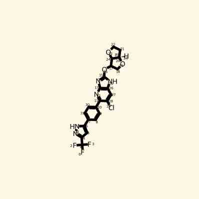 FC(F)(F)c1cc(-c2ccc(-c3nc4nc(OC5CO[C@@H]6CCOC56)[nH]c4cc3Cl)cc2)[nH]n1